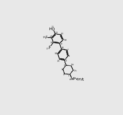 CCCCCC1CCC(c2ccc(-c3ccc(O)c(F)c3F)cc2)CC1